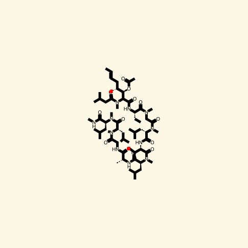 C/C=C/C[C@@H](C)[C@@H](OC(C)=O)C(C(=O)N[C@@H](CC)C(=O)N(C)CC(=O)N(C)[C@@H](CC(C)C)C(=O)N[C@H](C(=O)N(C)[C@@H](CC(C)C)C(=O)N[C@H](C)C(=O)NCC(=O)N(C)[C@@H](CC(C)C)C(=O)N(C)[C@@H](CC(C)C)C(=O)NC)C(C)C)N(C)C(=O)CC(C)C